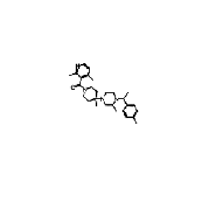 Cc1ccc([C@H](C)N2CCN(C3(C)CCN(C(=O)c4c(C)ccnc4C)CC3)C[C@@H]2C)cc1